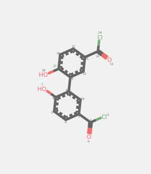 O=C(Cl)c1ccc(O)c(-c2cc(C(=O)Cl)ccc2O)c1